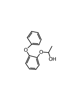 CC(O)Oc1ccccc1Oc1ccccc1